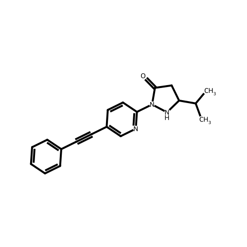 CC(C)C1CC(=O)N(c2ccc(C#Cc3ccccc3)cn2)N1